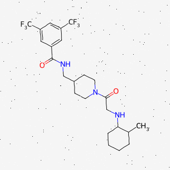 CC1CCCCC1NCC(=O)N1CCC(CNC(=O)c2cc(C(F)(F)F)cc(C(F)(F)F)c2)CC1